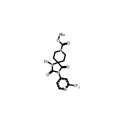 CCN1C(=O)N(c2ccnc(C(F)(F)F)c2)C(=O)C12CCN(C(=O)OC(C)(C)C)CC2